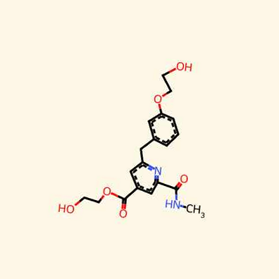 CNC(=O)c1cc(C(=O)OCCO)cc(Cc2cccc(OCCO)c2)n1